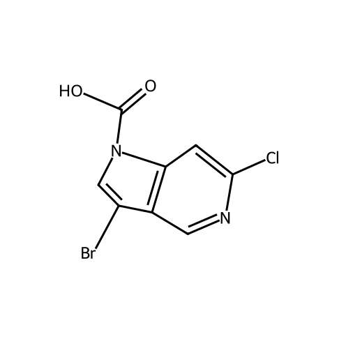 O=C(O)n1cc(Br)c2cnc(Cl)cc21